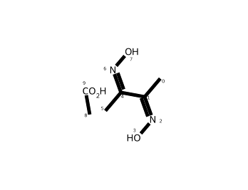 CC(=N/O)/C(C)=N\O.CC(=O)O